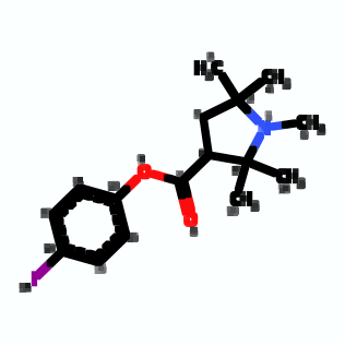 CN1C(C)(C)CC(C(=O)Oc2ccc(I)cc2)C1(C)C